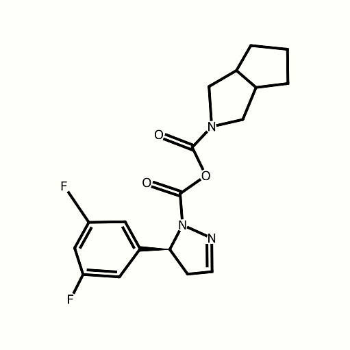 O=C(OC(=O)N1N=CC[C@H]1c1cc(F)cc(F)c1)N1CC2CCCC2C1